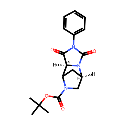 CC(C)(C)OC(=O)N1C[C@H]2CC1[C@H]1C(=O)N(c3ccccc3)C(=O)N21